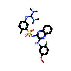 COc1ccc(Cl)c(Nc2nc3ccccc3nc2NS(=O)(=O)c2cc(NC(N(C)C)N(C)C)ccc2C)c1